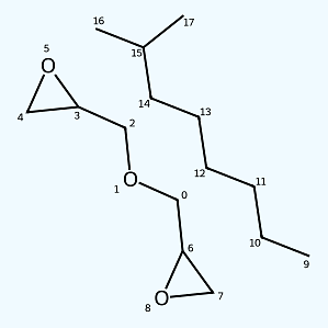 C(OCC1CO1)C1CO1.CCCCCCC(C)C